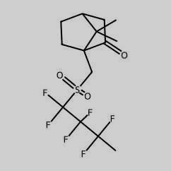 CC(F)(F)C(F)(F)C(F)(F)S(=O)(=O)CC12CCC(CC1=O)C2(C)C